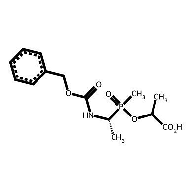 CC(OP(C)(=O)[C@H](C)NC(=O)OCc1ccccc1)C(=O)O